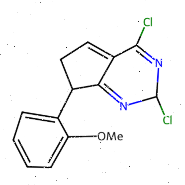 COc1ccccc1C1CC=C2C(Cl)=NC(Cl)N=C21